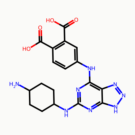 NC1CCC(Nc2nc(Nc3ccc(C(=O)O)c(C(=O)O)c3)c3nn[nH]c3n2)CC1